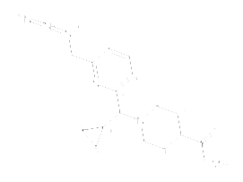 COC(=O)C1CCN(C(c2cccc(CN=[N+]=[N-])n2)C2CC2)CC1